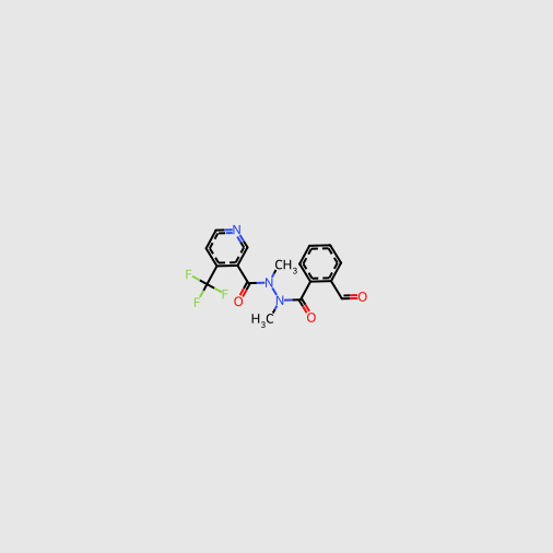 CN(C(=O)c1ccccc1C=O)N(C)C(=O)c1cnccc1C(F)(F)F